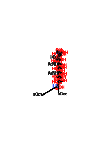 CCCCCCCC/C=C\CCCCCCCCCCCCCC(=O)N[C@@H](CO[C@@H]1OC(CO)[C@@H](O[C@@H]2OC(CO)[C@H](O[C@@H]3OC(CO)[C@H](O)[C@H](O[C@@H]4OC(CO)[C@H](O)[C@H](O[C@@H]5OC(CO)[C@@H](O[C@@H]6OC(CO)[C@H](O)[C@H](O[C@]7(C(=O)O)CC(O)[C@@H](NC(=O)CO)C([C@H](O)[C@H](O)CO)O7)C6O)[C@H](O)C5NC(C)=O)C4O)C3NC(C)=O)[C@H](O)C2O)[C@H](O)C1O)[C@H](O)/C=C/CCCCCCCCCCCCC